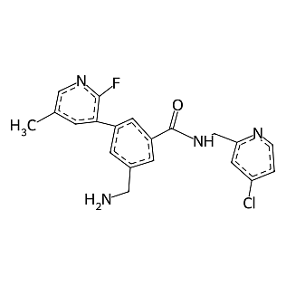 Cc1cnc(F)c(-c2cc(CN)cc(C(=O)NCc3cc(Cl)ccn3)c2)c1